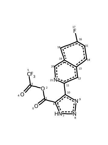 O=C(OC(=O)C(F)(F)F)c1[nH]nnc1-c1cc2ccc(F)cc2cn1